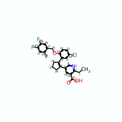 CCc1ncc(C2=C(c3cc(Cl)ccc3OCc3cc(F)c(F)cc3F)CCC2)cc1C(=O)O